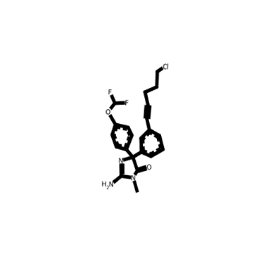 CN1C(=O)C(c2ccc(OC(F)F)cc2)(c2cccc(C#CCCCCl)c2)N=C1N